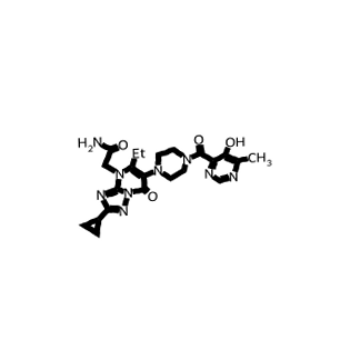 CCc1c(N2CCN(C(=O)c3ncnc(C)c3O)CC2)c(=O)n2nc(C3CC3)nc2n1CC(N)=O